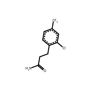 NC(=O)C[CH]c1ccc(C(F)(F)F)cc1Cl